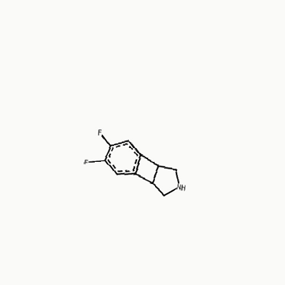 Fc1cc2c(cc1F)C1CNCC21